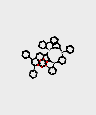 c1ccc(-c2ccccc2N2c3cccc(c3)N(c3ccccc3)c3cccc(c3)N(c3ccccc3-c3ccccc3)c3cc2c2ccc4c(-c5ccccc5)cc(-c5ccccc5)c5ccc3c2c45)cc1